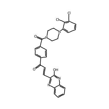 O=C(C=Cc1nc2ccccc2nc1O)c1ccc(C(=O)N2CCN(c3cccc(Cl)c3Cl)CC2)cc1